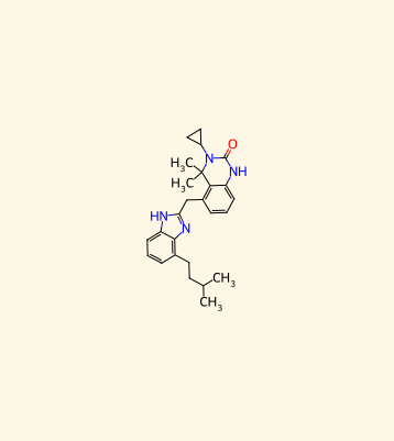 CC(C)CCc1cccc2[nH]c(Cc3cccc4c3C(C)(C)N(C3CC3)C(=O)N4)nc12